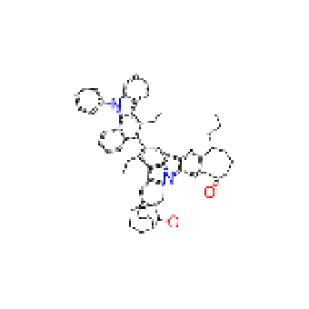 CCCC1CCCC(=O)c2cc3c(cc21)c1cc(-c2c(CC)c4c5ccccc5n(-c5ccccc5)c4c4ccccc24)c(CC)c2c4cc5c(cc4n3c12)C(=O)C1CCC5CC1